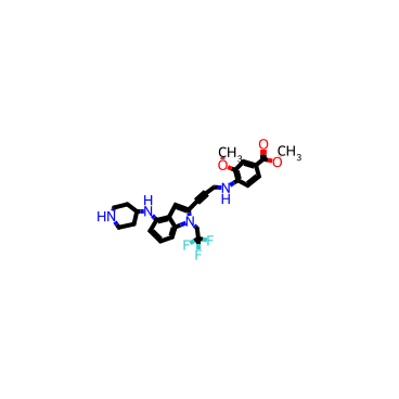 COC(=O)c1ccc(NCC#Cc2cc3c(NC4CCNCC4)cccc3n2CC(F)(F)F)c(OC)c1